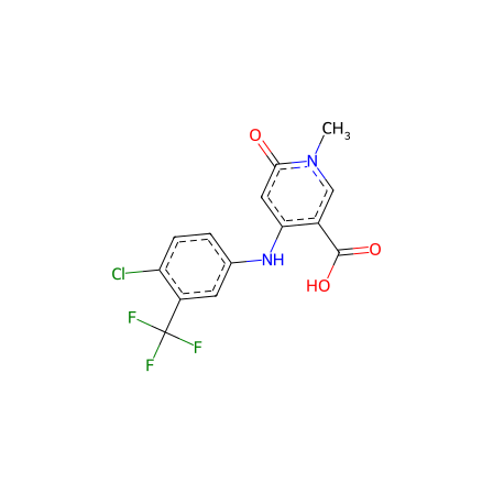 Cn1cc(C(=O)O)c(Nc2ccc(Cl)c(C(F)(F)F)c2)cc1=O